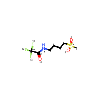 CS(=O)(=O)CCCCNC(=O)C(F)(F)F